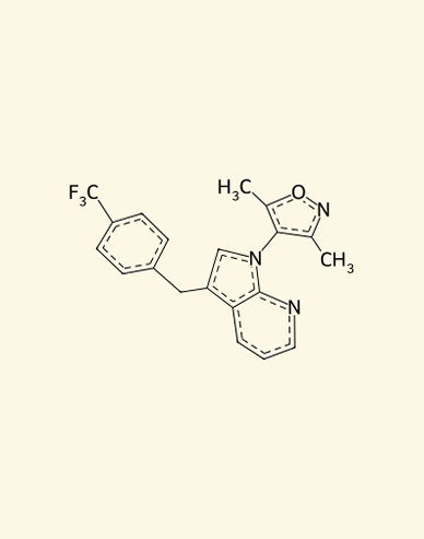 Cc1noc(C)c1-n1cc(Cc2ccc(C(F)(F)F)cc2)c2cccnc21